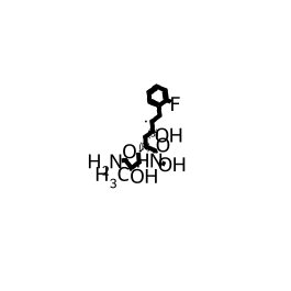 CC(O)(CC[C@H](C[C@@H](O)[CH]Cc1ccccc1F)C(=O)NO)C(N)=O